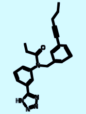 CCCC#Cc1cccc(CN(C(=O)CC)c2cccc(-c3nnn[nH]3)c2)c1